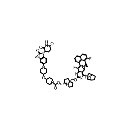 C#Cc1c(F)ccc2cccc(-c3ncc4c(N5CC6CCC(C5)N6)nc(OC[C@@]56CCCN5[C@H](COC(=O)N5CCC(OC7CCN(c8ccc9c(c8)n(C)c(=O)n9C8CCC(=O)NC8=O)CC7)CC5)CC6)nc4c3F)c12